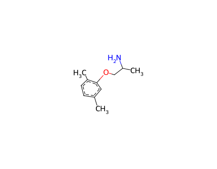 Cc1ccc(C)c(OCC(C)N)c1